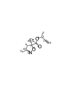 C#CC(C)OC(=O)C1(CC)CC(C)=NO1